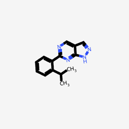 CC(C)c1ccccc1-c1ncc2cn[nH]c2n1